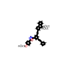 CCCCCCCCOc1ccc(-c2nnc(-c3cc(C#Cc4ccccc4)cc(C#Cc4ccc5c(c4)C(CCCCCCCC)(CCCCCCCC)c4ccccc4-5)c3)o2)cc1